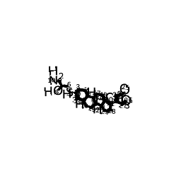 C[C@]12CC[C@H](SCC(O)CN)C[C@@H]1CC[C@@H]1[C@@H]2CC[C@]2(C)[C@@H](C3=CC(=O)OC3)CC[C@@H]12